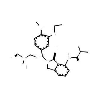 CCOc1cc([C@@H](CCN(O)C=O)N2Cc3cccc(NC(=O)C(C)C)c3C2=O)ccc1OC